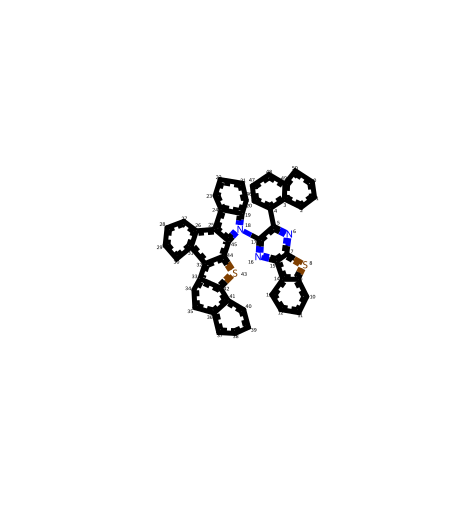 c1ccc2c(-c3nc4sc5ccccc5c4nc3-n3c4ccccc4c4c5ccccc5c5c6ccc7ccccc7c6sc5c43)cccc2c1